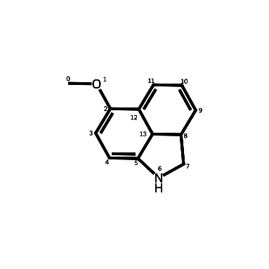 COC1=CC=C2NCC3C=CC=C1C23